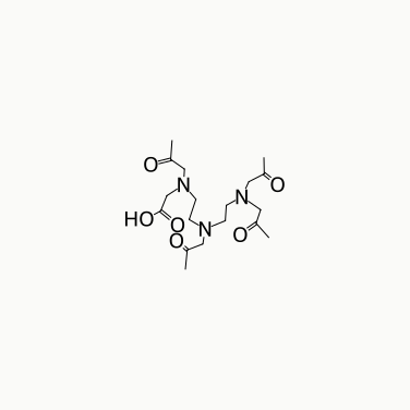 CC(=O)CN(CCN(CC(C)=O)CC(C)=O)CCN(CC(C)=O)CC(=O)O